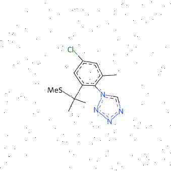 CSC(C)(C)c1cc(Cl)cc(C)c1-n1cnnn1